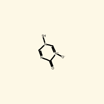 O=c1ncn(S)c[n+]1[O-]